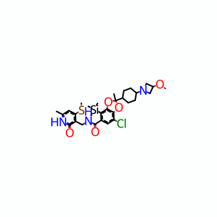 COC1CN(C2CCC(C3(C)Oc4c(Cl)cc(C(=O)NCc5c(SC)cc(C)[nH]c5=O)c([Si](C)(C)C)c4O3)CC2)C1